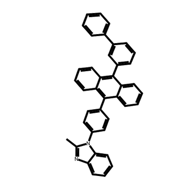 Cc1nc2ccccc2n1-c1ccc(-c2c3ccccc3c(-c3cccc(-c4ccccc4)c3)c3ccccc23)cc1